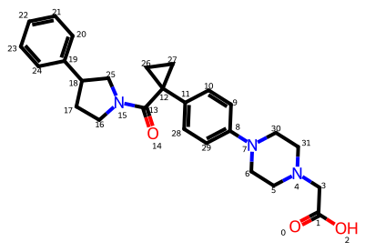 O=C(O)CN1CCN(c2ccc(C3(C(=O)N4CCC(c5ccccc5)C4)CC3)cc2)CC1